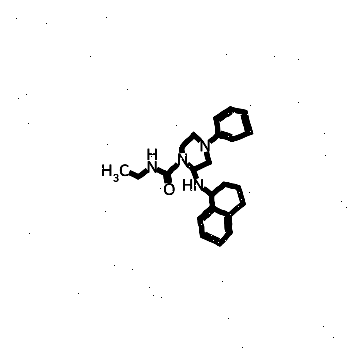 CCNC(=O)N1CCN(c2ccccc2)CC1NC1CCCc2ccccc21